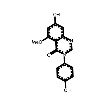 COc1cc(O)cc2ncn(-c3ccc(O)cc3)c(=O)c12